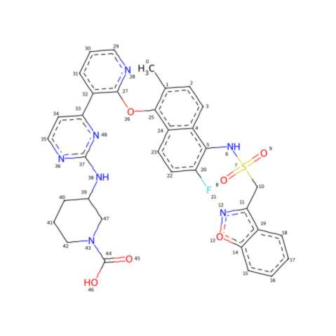 Cc1ccc2c(NS(=O)(=O)Cc3noc4ccccc34)c(F)ccc2c1Oc1ncccc1-c1ccnc(NC2CCCN(C(=O)O)C2)n1